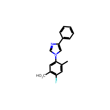 Cc1cc(F)c(C(=O)O)cc1-n1cnc(-c2ccccc2)c1